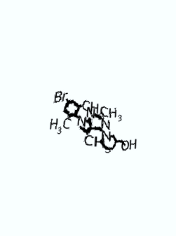 Cc1nc(N2CCCC(CO)C2)c2c(C)cn(-c3c(C)cc(Br)cc3C)c2n1